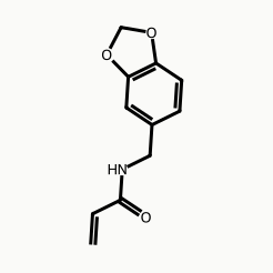 C=CC(=O)NCc1ccc2c(c1)OCO2